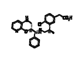 C[C@@H](CN[C@H](c1ccccc1)[C@H]1CNc2cccnc2O1)c1cc(CC(=O)O)ccc1Cl